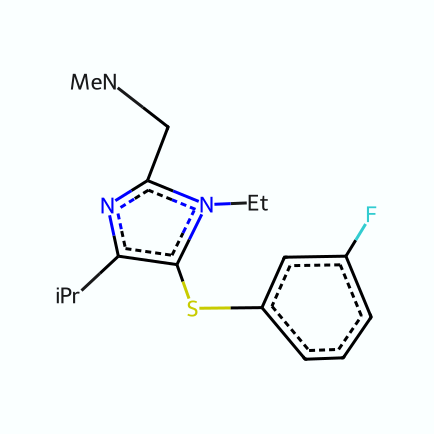 CCn1c(CNC)nc(C(C)C)c1Sc1cccc(F)c1